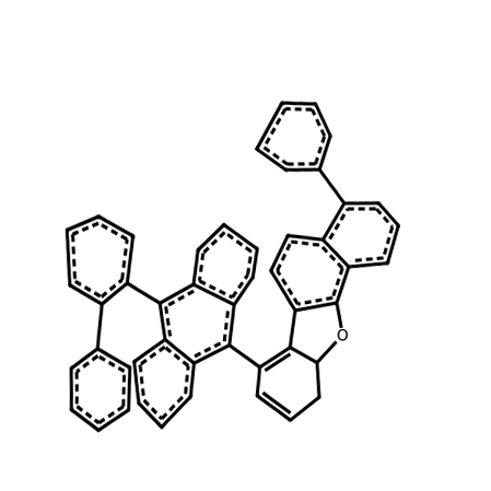 C1=CC(c2c3ccccc3c(-c3ccccc3-c3ccccc3)c3ccccc23)=C2c3ccc4c(-c5ccccc5)cccc4c3OC2C1